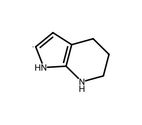 [c]1cc2c([nH]1)NCCC2